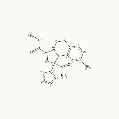 CC(C)(C)OC(=O)C1=CC(C(N)=O)(c2cccs2)C2c3cc(N)ccc3CCN12